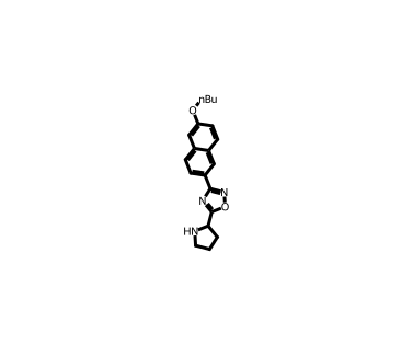 CCCCOc1ccc2cc(-c3noc(C4CCCN4)n3)ccc2c1